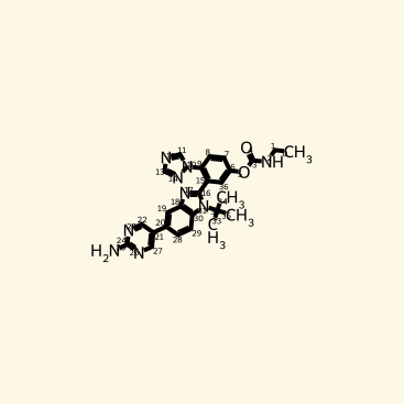 CCNC(=O)Oc1ccc(-n2cncn2)c(-c2nc3cc(-c4cnc(N)nc4)ccc3n2C(C)(C)C)c1